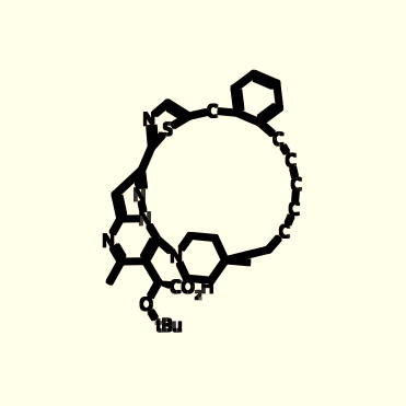 Cc1nc2cc3nn2c(c1[C@H](OC(C)(C)C)C(=O)O)N1CCC(C)(CCCCCCc2ccccc2Cc2cnc-3s2)CC1